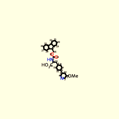 COc1cncc(-c2ccc(C[C@H](NC(=O)OCC3c4ccccc4-c4ccccc43)C(=O)O)cc2)c1